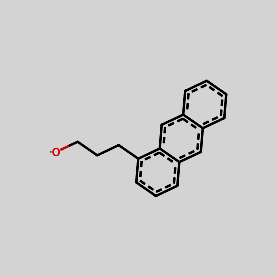 [O]CCCc1cccc2cc3ccccc3cc12